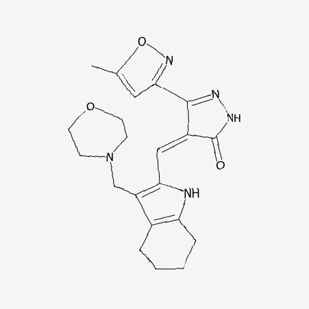 Cc1cc(C2=NNC(=O)C2=Cc2[nH]c3c(c2CN2CCOCC2)CCCC3)no1